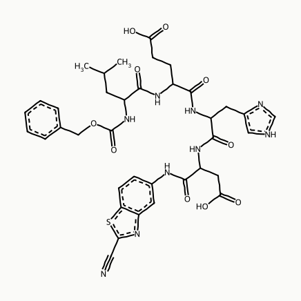 CC(C)CC(NC(=O)OCc1ccccc1)C(=O)NC(CCC(=O)O)C(=O)NC(Cc1c[nH]cn1)C(=O)NC(CC(=O)O)C(=O)Nc1ccc2sc(C#N)nc2c1